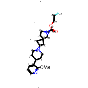 COc1ncccc1C1CCN(C2CC3(CCN(C(=O)OCCF)C3)C2)CC1